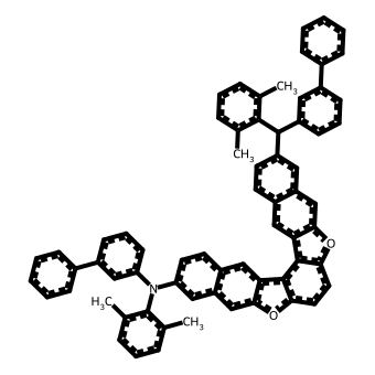 Cc1cccc(C)c1C(c1cccc(-c2ccccc2)c1)c1ccc2cc3c(cc2c1)oc1ccc2oc4cc5cc(N(c6cccc(-c7ccccc7)c6)c6c(C)cccc6C)ccc5cc4c2c13